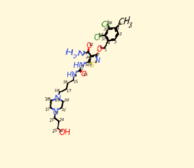 Cc1ccc(COc2nsc(NC(=O)NCCCCN3CCN(CCCO)CC3)c2C(N)=O)c(Cl)c1Cl